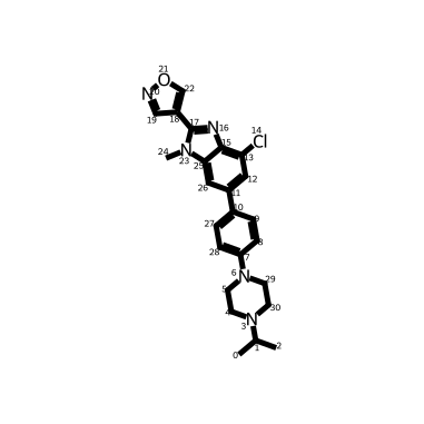 CC(C)N1CCN(c2ccc(-c3cc(Cl)c4nc(-c5cnoc5)n(C)c4c3)cc2)CC1